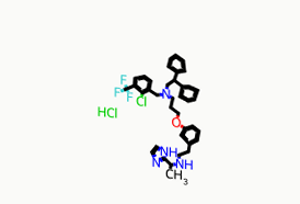 CC(NCCc1cccc(OCCCN(Cc2cccc(C(F)(F)F)c2Cl)CC(c2ccccc2)c2ccccc2)c1)c1ncc[nH]1.Cl